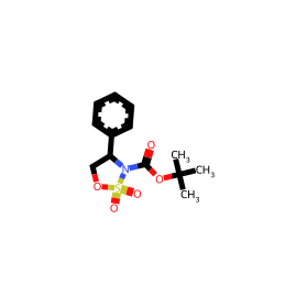 CC(C)(C)OC(=O)N1C(c2ccccc2)COS1(=O)=O